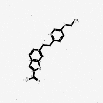 CCOc1ccc(CCc2ccc3cc(C(C)=O)oc3c2)nc1